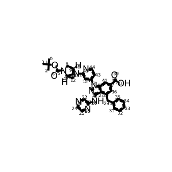 CC(C)(C)OC(=O)N1C[C@@H]2C[C@H]1CN2c1cc(-n2nc(Nc3cnccn3)c3c(Cc4ccccc4)cc(C(=O)O)cc32)ccn1